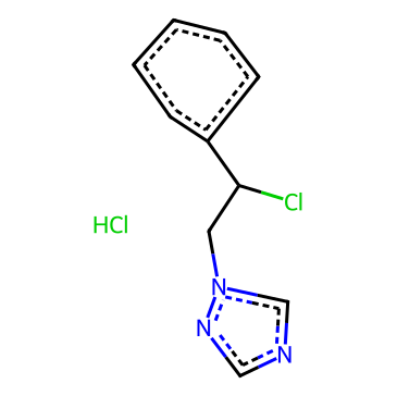 Cl.ClC(Cn1cncn1)c1ccccc1